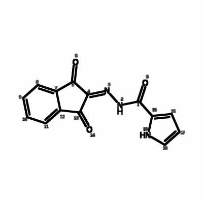 O=C(NN=c1c(=O)c2ccccc2c1=O)c1ccc[nH]1